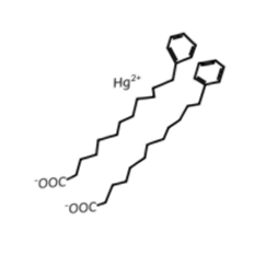 O=C([O-])CCCCCCCCCCCc1ccccc1.O=C([O-])CCCCCCCCCCCc1ccccc1.[Hg+2]